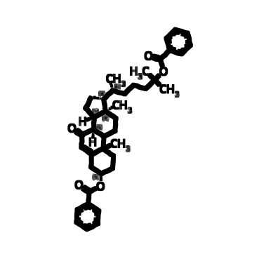 C[C@H](CCCC(C)(C)OC(=O)c1ccccc1)[C@H]1CC[C@H]2[C@@H]3C(=O)C=C4C[C@@H](OC(=O)c5ccccc5)CCC4(C)C3CC[C@]12C